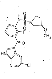 COC1CCN(S(=O)(=O)Nc2cccc(C(=O)c3c[nH]c4ncc(Cl)cc34)c2F)C1